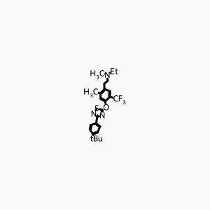 CCN(C)CCc1cc(C(F)(F)F)c(Oc2nc(-c3ccc(C(C)(C)C)cc3)ns2)cc1C